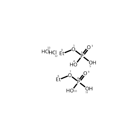 CCOP(=O)(O)O.CCOP(=O)(O)O.Cl.Cl